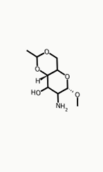 CO[C@H]1OC2COC(C)O[C@H]2C(O)C1N